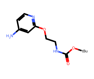 CC(C)(C)OC(=O)NCCOc1cc(N)ccn1